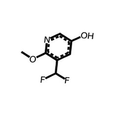 COc1ncc(O)cc1C(F)F